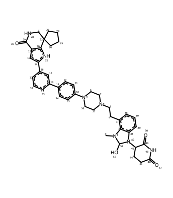 CN1c2c(CCN3CCN(c4ccc(-c5cc(-c6cc7c([nH]6)C6(CCCC6)CNC7=O)ccn5)cc4)CC3)cccc2N(C2CCC(=O)NC2=O)C1O